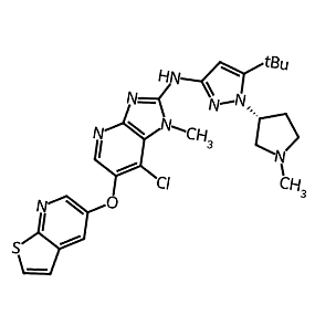 CN1CC[C@@H](n2nc(Nc3nc4ncc(Oc5cnc6sccc6c5)c(Cl)c4n3C)cc2C(C)(C)C)C1